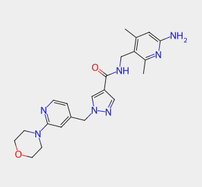 Cc1cc(N)nc(C)c1CNC(=O)c1cnn(Cc2ccnc(N3CCOCC3)c2)c1